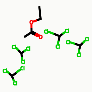 CCOC(C)=O.ClC(Cl)Cl.ClC(Cl)Cl.ClC(Cl)Cl.ClC(Cl)Cl